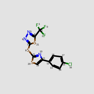 FC(F)(F)c1nnc(Sc2nc(-c3ccc(Cl)cc3)cs2)s1